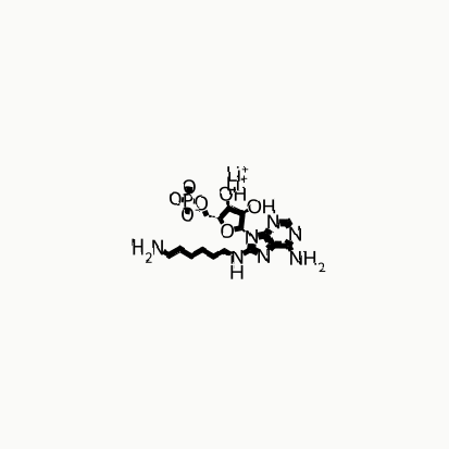 NCCCCCCNc1nc2c(N)ncnc2n1[C@@H]1O[C@H](COP(=O)([O-])[O-])[C@@H](O)[C@H]1O.[Li+].[Li+]